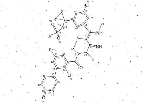 CN/C(=C1/CCN(C(=O)c2cc(F)cc(-c3ccc(=O)[nH]c3)c2Cl)C(C)C1=N)c1cc(Cl)cc(C2(NS(C)(=O)=O)CC2)c1